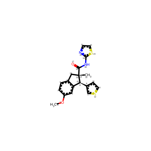 COc1ccc2c(c1)[C@H](c1ccsc1)[C@@](C)(C(=O)Nc1nccs1)C2